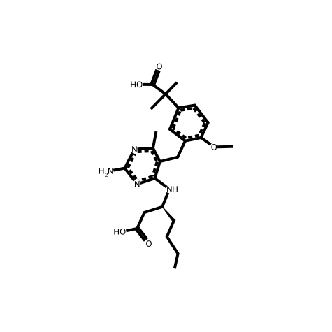 CCCC[C@@H](CC(=O)O)Nc1nc(N)nc(C)c1Cc1cc(C(C)(C)C(=O)O)ccc1OC